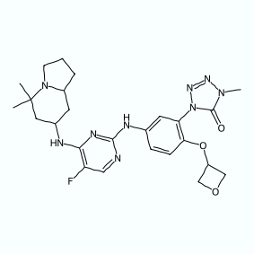 Cn1nnn(-c2cc(Nc3ncc(F)c(NC4CC5CCCN5C(C)(C)C4)n3)ccc2OC2COC2)c1=O